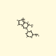 Nc1cccc(-c2cc3nc[nH]c3cc2Cl)c1